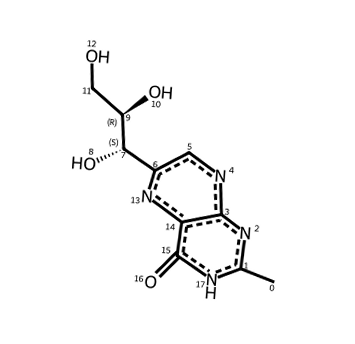 Cc1nc2ncc([C@H](O)[C@H](O)CO)nc2c(=O)[nH]1